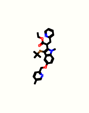 CCOC(=O)C(Cc1ccccn1)c1c(SC(C)(C)C)c2cc(OCc3ccc(C)cn3)ccc2n1C